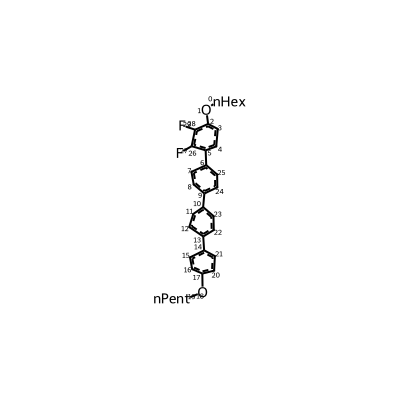 CCCCCCOc1ccc(-c2ccc(-c3ccc(-c4ccc(OCCCCC)cc4)cc3)cc2)c(F)c1F